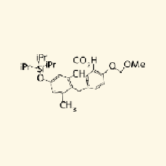 COCOc1ccc(Cc2c(C)cc(O[Si](C(C)C)(C(C)C)C(C)C)cc2C)cc1C(=O)O